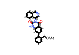 COCc1ccccc1-c1ccc2c(=O)n(-c3cncc4ccccc34)c(=O)[nH]c2c1